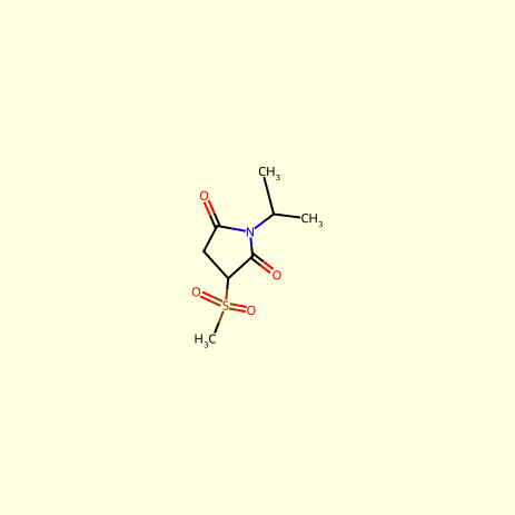 CC(C)N1C(=O)CC(S(C)(=O)=O)C1=O